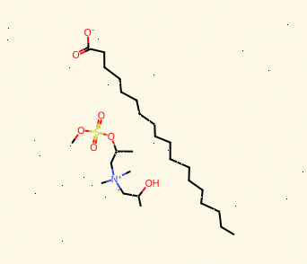 CCCCCCCCCCCCCCCCCC(=O)[O-].COS(=O)(=O)OC(C)C[N+](C)(C)CC(C)O